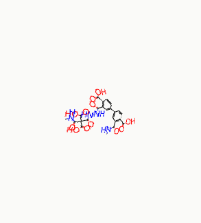 CNC(=O)c1cc(-c2ccc(C(=O)O)c(C(=O)NNC(=O)C(C(=O)O)(C(=O)O)C(=O)NC)c2)ccc1C(=O)O